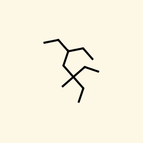 CC[C](CC)CC(C)(CC)CC